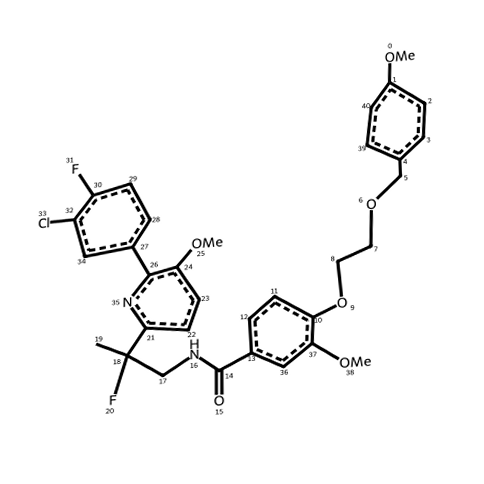 COc1ccc(COCCOc2ccc(C(=O)NCC(C)(F)c3ccc(OC)c(-c4ccc(F)c(Cl)c4)n3)cc2OC)cc1